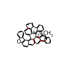 CC1(C)c2ccccc2-c2cccc(C(c3ccccc3-c3cccc4ccc5oc6ccccc6c5c34)c3c(-c4ccccc4)cccc3-c3ccccc3)c21